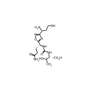 CC(O)[C@H](NC(=O)N[C@H](CCC(N)=O)c1nc([C@@H](N)CCO)no1)C(=O)O